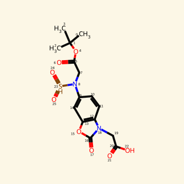 CC(C)(C)OC(=O)CN(c1ccc2c(c1)oc(=O)n2CC(=O)O)[SH](=O)=O